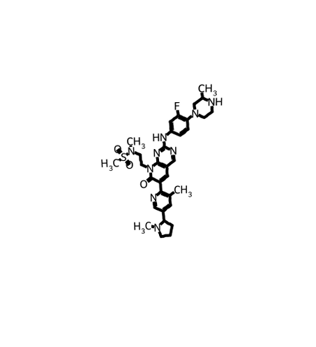 Cc1cc(C2CCCN2C)cnc1-c1cc2cnc(Nc3ccc(N4CCNC(C)C4)c(F)c3)nc2n(CCN(C)S(C)(=O)=O)c1=O